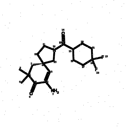 CC1(C)C[C@]2(C=C(N)C1=O)CCN(C(=O)C1CCC(F)(F)CC1)C2